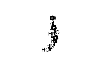 Cc1c(NC(=O)c2ccc(OC[C@@H]3CCCO3)cc2F)ccc2cc(CNCC(C)(C)O)n(C)c12